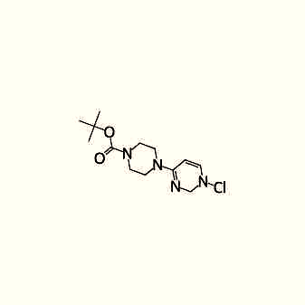 CC(C)(C)OC(=O)N1CCN(C2=NCN(Cl)C=C2)CC1